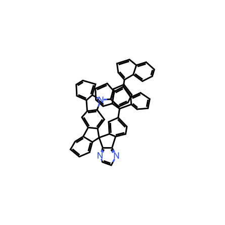 c1ccc(-n2c3ccccc3c3cc4c(cc32)C2(c3ccccc3-4)c3cc(-c4c5ccccc5c(-c5cccc6ccccc56)c5ccccc45)ccc3-c3nccnc32)cc1